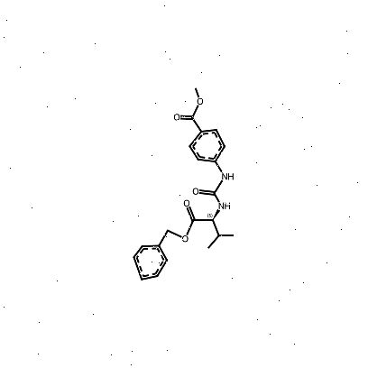 COC(=O)c1ccc(NC(=O)N[C@H](C(=O)OCc2ccccc2)C(C)C)cc1